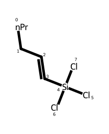 CCCC/C=C/[Si](Cl)(Cl)Cl